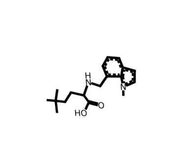 Cn1ccc2cccc(CNC(CCC(C)(C)C)C(=O)O)c21